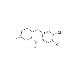 C=C[C@@H]1CN(C)CCC1Cc1ccc(Cl)c(Cl)c1